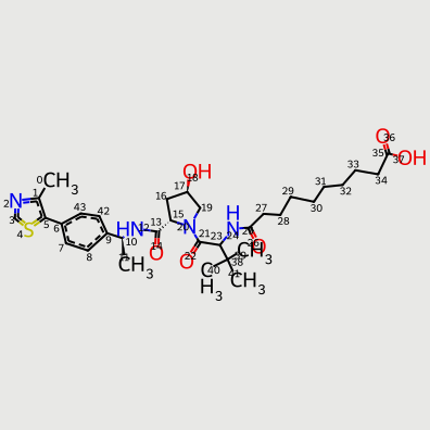 Cc1ncsc1-c1ccc([C@H](C)NC(=O)[C@@H]2C[C@@H](O)CN2C(=O)C(NC(=O)CCCCCCCCC(=O)O)C(C)(C)C)cc1